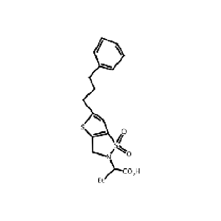 CCC(C(=O)O)N1Cc2sc(CCCc3ccccc3)cc2S1(=O)=O